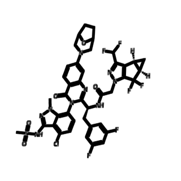 Cn1nc(NS(C)(=O)=O)c2c(Cl)ccc(-n3c([C@H](Cc4cc(F)cc(F)c4)NC(=O)Cn4nc(C(F)F)c5c4C(F)(F)[C@@H]4C[C@H]54)nc4cc(N5CC6CCC(C5)O6)ccc4c3=O)c21